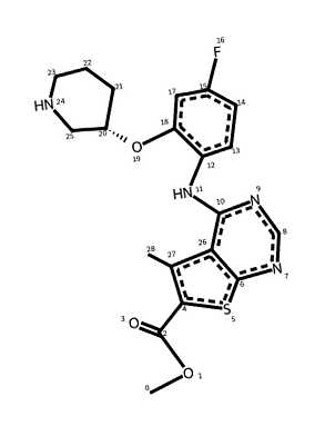 COC(=O)c1sc2ncnc(Nc3ccc(F)cc3O[C@H]3CCCNC3)c2c1C